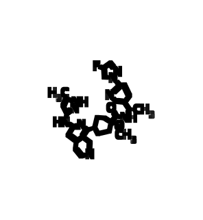 CO[C@]1(C(=O)N[C@@H](C)c2ccc(-n3cc(F)cn3)nc2)CC[C@H](c2nc(Nc3cc(C)[nH]n3)cc3ccncc32)CC1